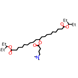 CCC(CC)OC(=O)CCCCCCCCC(CCCCCCCCC(=O)OC(CC)CC)OC(=O)CCCN(C)C